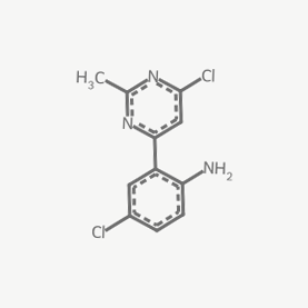 Cc1nc(Cl)cc(-c2cc(Cl)ccc2N)n1